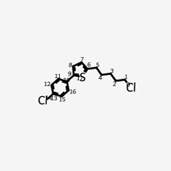 ClCCCCCc1ccc(-c2ccc(Cl)cc2)s1